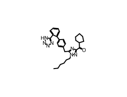 CCCCCCn1nc(C(=O)C2CCCCC2)nc1Cc1ccc(-c2ccccc2-c2nnn[nH]2)cc1